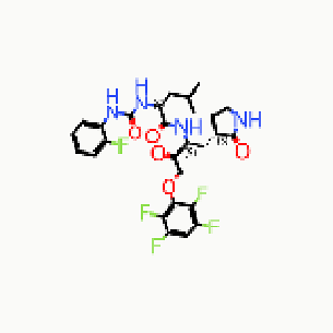 CC(C)C[C@H](NC(=O)Nc1ccccc1F)C(=O)N[C@@H](C[C@@H]1CCNC1=O)C(=O)COc1c(F)c(F)cc(F)c1F